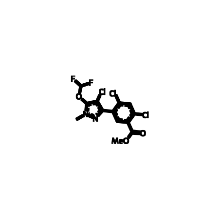 COC(=O)c1cc(-c2nn(C)c(OC(F)F)c2Cl)c(Cl)cc1Cl